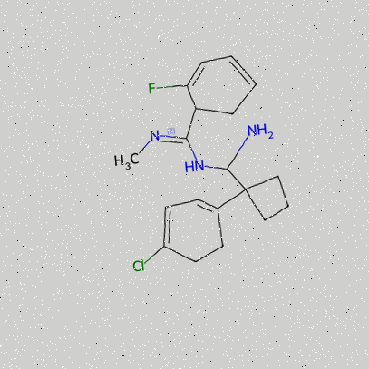 C/N=C(\NC(N)C1(C2=CC=C(Cl)CC2)CCC1)C1CC=CC=C1F